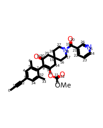 CC#Cc1cc(C)c(C2=C(OC(=O)OC)CC3(CCN(C(=O)c4cccnc4)CC3)CC2=O)c(C)c1